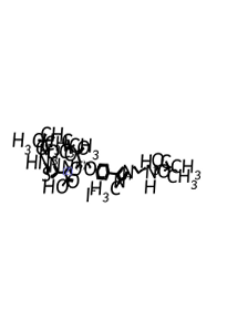 C[n+]1cn(CCCNC(=O)OC(C)(C)C)cc1-c1ccc(OC[C@H](O/N=C(\C(=O)O)c2csc(NC(=O)OC(C)(C)C)n2)C(=O)OC(C)(C)C)cc1.[I-]